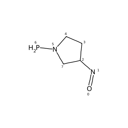 O=NC1CCN(P)C1